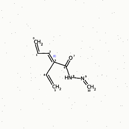 C=C/C=C(\C=C)C(=O)NN=C